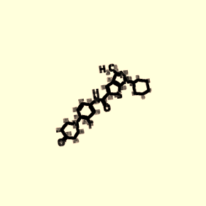 Cc1nn(C2CCCCC2)c2sc(C(=O)Nc3ccc(N4CCC(=O)CC4)c(F)c3)cc12